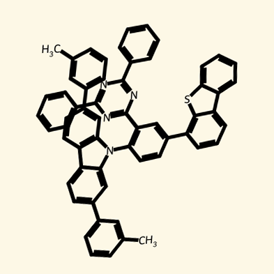 Cc1cccc(-c2ccc3c4ccc(-c5cccc(C)c5)cc4n(-c4ccc(-c5cccc6c5sc5ccccc56)cc4-c4nc(-c5ccccc5)nc(-c5ccccc5)n4)c3c2)c1